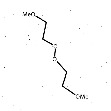 COCCOOCCOC